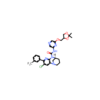 CC1(C)OCC(COc2cncc(NC(=O)N3c4nc(-c5cccc(C(F)(F)F)c5)c(Cl)cc4N4CCC[C@H]3C4)n2)O1